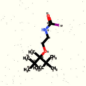 CC(C)(C)C(C)(OCCNC(=O)I)C(C)(C)C